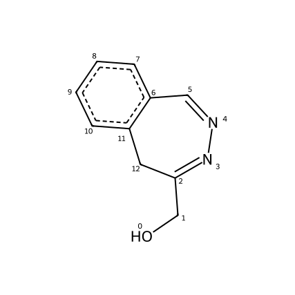 OCC1=NN=Cc2ccccc2C1